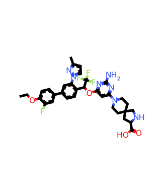 CCOc1ccc(-c2ccc(C(Oc3cc(N4CCC5(CC4)CNC(C(=O)O)C5)nc(N)n3)C(F)(F)F)c(-n3ccc(C)n3)c2)cc1F